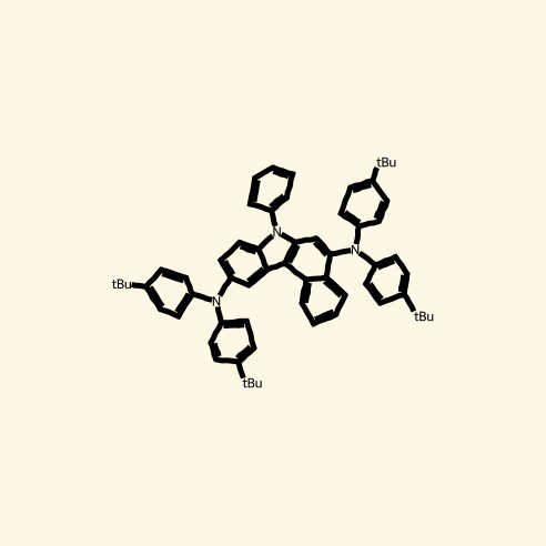 CC(C)(C)c1ccc(N(c2ccc(C(C)(C)C)cc2)c2ccc3c(c2)c2c4ccccc4c(N(c4ccc(C(C)(C)C)cc4)c4ccc(C(C)(C)C)cc4)cc2n3-c2ccccc2)cc1